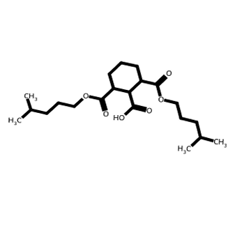 CC(C)CCCOC(=O)C1CCCC(C(=O)OCCCC(C)C)C1C(=O)O